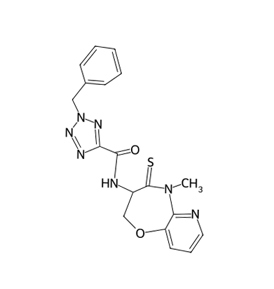 CN1C(=S)C(NC(=O)c2nnn(Cc3ccccc3)n2)COc2cccnc21